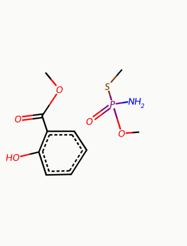 COC(=O)c1ccccc1O.COP(N)(=O)SC